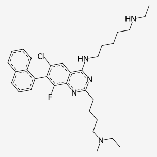 CCNCCCCCNc1nc(CCCCN(C)CC)nc2c(F)c(-c3cccc4ccccc34)c(Cl)cc12